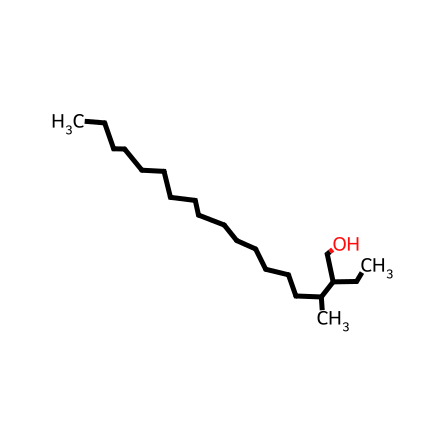 CCCCCCCCCCCCCCCC(C)C(CC)CO